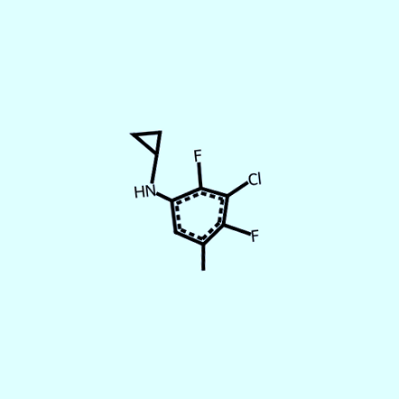 Cc1cc(NC2CC2)c(F)c(Cl)c1F